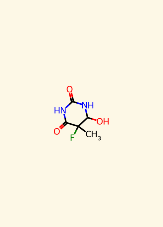 CC1(F)C(=O)NC(=O)NC1O